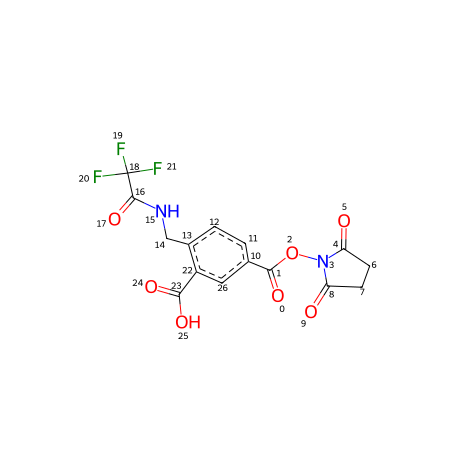 O=C(ON1C(=O)CCC1=O)c1ccc(CNC(=O)C(F)(F)F)c(C(=O)O)c1